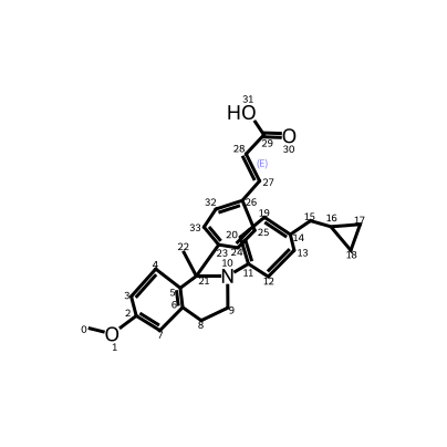 COc1ccc2c(c1)CCN(c1ccc(CC3CC3)cc1)C2(C)c1ccc(/C=C/C(=O)O)cc1